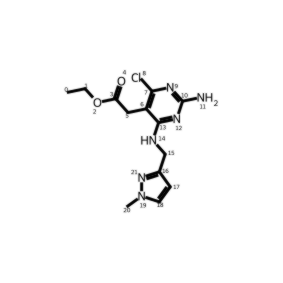 CCOC(=O)Cc1c(Cl)nc(N)nc1NCc1ccn(C)n1